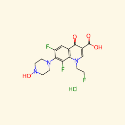 Cl.O=C(O)c1cn(CCF)c2c(F)c(N3CCN(O)CC3)c(F)cc2c1=O